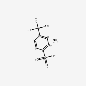 N.O=S(=O)(Cl)c1ccc(C(F)(F)F)cn1